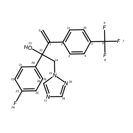 C=C(c1ccc(C(F)(F)F)cc1)C(O)(Cn1cncn1)c1ccc(F)cc1